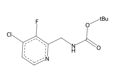 CC(C)(C)OC(=O)NCc1nccc(Cl)c1F